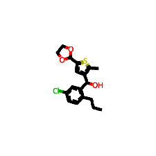 CCCc1ccc(Cl)cc1C(O)c1cc(C2OCCO2)sc1C